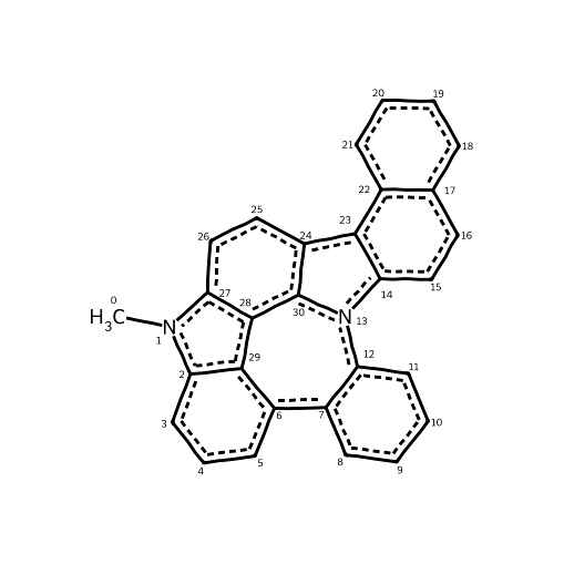 Cn1c2cccc3c4ccccc4n4c5ccc6ccccc6c5c5ccc1c(c32)c54